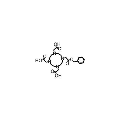 O=C(O)CN1CCN(CC(=O)O)CCN(CC(=O)OCc2ccccc2)CCN(CC(=O)O)CC1